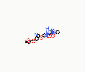 Cc1c(C(=O)Nc2ccc(Oc3ccnc4cc(OC[C@H]5CCC6(CC6)O5)ccc34)cn2)c(=O)n(-c2ccccc2)n1C